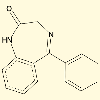 C/C=C\C(=C/C)C1=NCC(=O)Nc2ccccc21